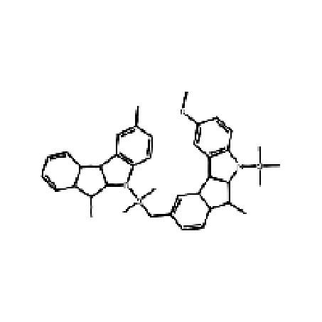 COc1ccc2c(c1)C1C3C=C(C[Si](C)(C)N4c5ccc(C)cc5C5C6C=CC=CC6C(C)C54)C=CC3C(C)C1N2[Si](C)(C)C